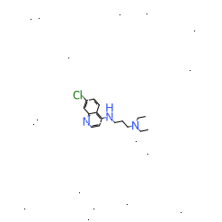 CCN(CC)CCCNc1ccnc2cc(Cl)ccc12